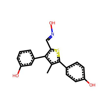 Cc1c(-c2ccc(O)cc2)sc(C=NO)c1-c1cccc(O)c1